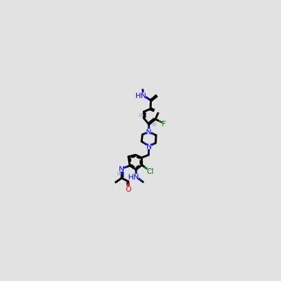 C=C(/C=C\C(=C(/C)F)N1CCN(Cc2ccc(/N=C(/C)C=O)c(NC)c2Cl)CC1)C(=C)NC